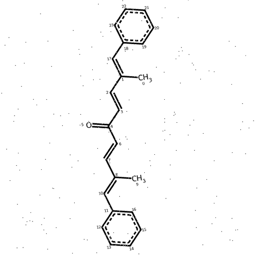 CC(/C=C/C(=O)/C=C/C(C)=C/c1ccccc1)=C\c1ccccc1